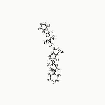 C[C@@H]1C[C@@H](CCNC(=O)OCc2ccccc2)c2ccc(N3CCN(C4CCCCC4)CC3)cc21